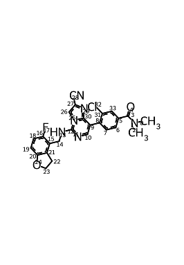 CN(C)C(=O)c1ccc(-c2cnc(NCc3c(F)ccc4c3CCO4)n3cc(C#N)nc23)c(Cl)c1